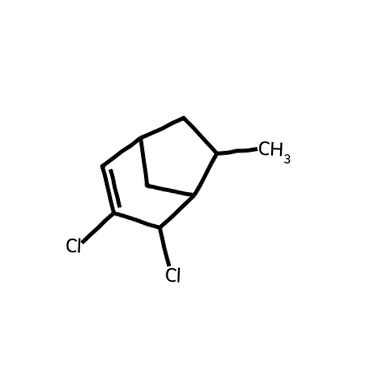 CC1CC2C=C(Cl)C(Cl)C1C2